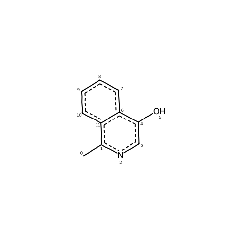 Cc1ncc(O)c2ccccc12